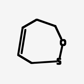 C1=CCSOCC1